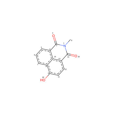 CN1C(=O)c2cccc3c(O)ccc(c23)C1=O